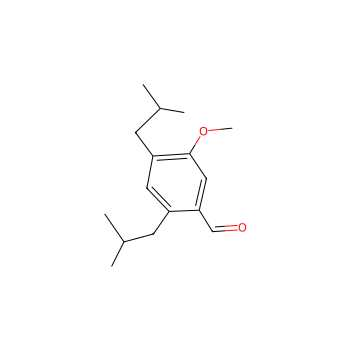 COc1cc(C=O)c(CC(C)C)cc1CC(C)C